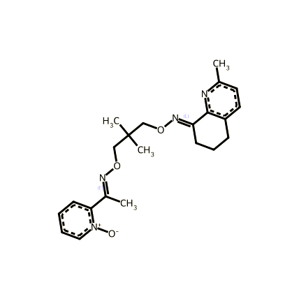 C/C(=N\OCC(C)(C)CO/N=C1\CCCc2ccc(C)nc21)c1cccc[n+]1[O-]